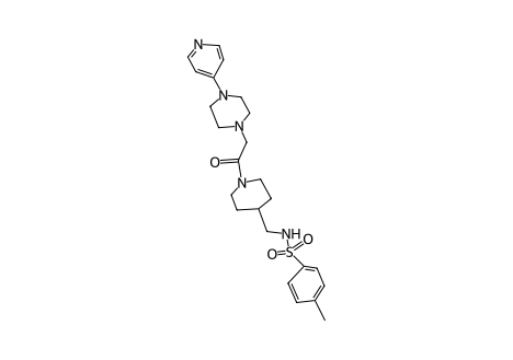 Cc1ccc(S(=O)(=O)NCC2CCN(C(=O)CN3CCN(c4ccncc4)CC3)CC2)cc1